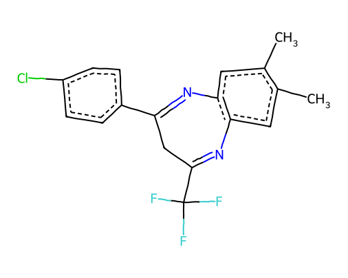 Cc1cc2c(cc1C)N=C(C(F)(F)F)CC(c1ccc(Cl)cc1)=N2